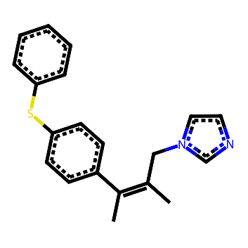 CC(Cn1ccnc1)=C(C)c1ccc(Sc2ccccc2)cc1